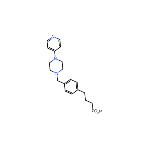 O=C(O)CCCc1ccc(CN2CCN(c3ccncc3)CC2)cc1